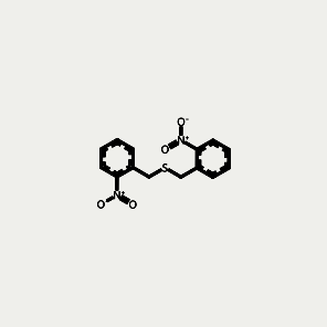 O=[N+]([O-])c1ccccc1CSCc1ccccc1[N+](=O)[O-]